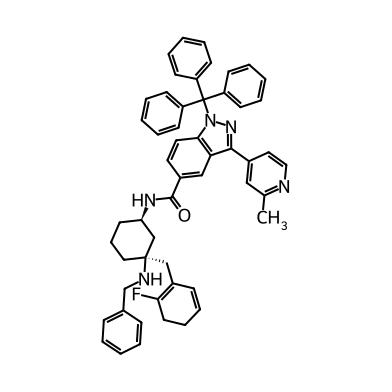 Cc1cc(-c2nn(C(c3ccccc3)(c3ccccc3)c3ccccc3)c3ccc(C(=O)N[C@@H]4CCC[C@](CC5=C(F)CCC=C5)(NCc5ccccc5)C4)cc23)ccn1